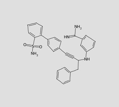 N=C(N)c1cccc(NC(C#Cc2ccc(-c3ccccc3S(N)(=O)=O)cc2)Cc2ccccc2)c1